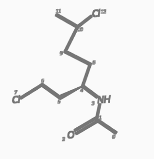 CC(=O)N[C@@H](CCCl)CCC(C)Cl